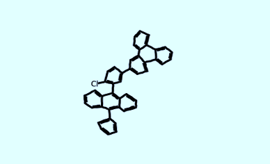 Clc1ccc(-c2ccc3c4ccccc4c4ccccc4c3c2)cc1-c1c2ccccc2c(-c2ccccc2)c2ccccc12